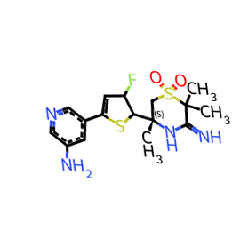 CC1(C)C(=N)N[C@](C)(C2SC(c3cncc(N)c3)=CC2F)CS1(=O)=O